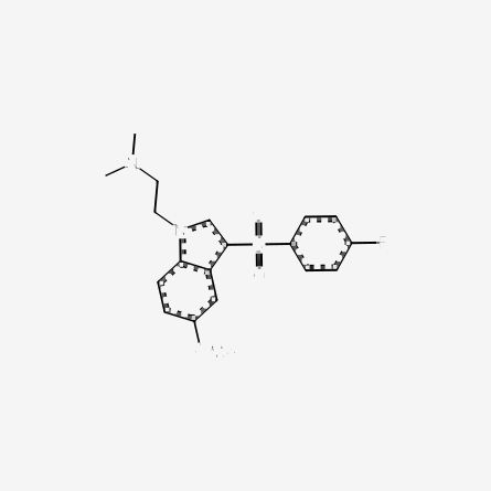 COc1ccc2c(c1)c(S(=O)(=O)c1ccc(F)cc1)cn2CCN(C)C